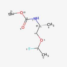 CC(F)OC[C@@H](C)NC(=O)OC(C)(C)C